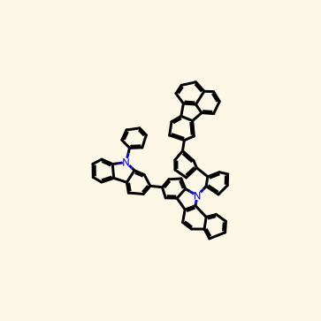 c1ccc(-n2c3ccccc3c3ccc(-c4ccc5c(c4)c4ccc6ccccc6c4n5-c4ccccc4-c4cccc(-c5ccc6c(c5)-c5cccc7cccc-6c57)c4)cc32)cc1